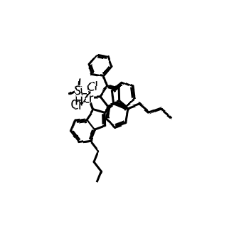 CCCCc1cccc2c1C=C(c1ccccc1)[CH]2[Zr]([Cl])([Cl])([CH]1C(c2ccccc2)=Cc2c(CCCC)cccc21)[SiH](C)C